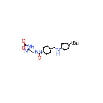 CC(C)(C)c1ccc(NCc2ccc(C(=O)NCc3noc(=O)[nH]3)cc2)cc1